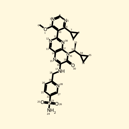 COc1ncnc(C2CC2)c1-c1ncc2nc(NCc3ccc(S(N)(=O)=O)cn3)c(=O)n([C@@H](C)C3CC3)c2n1